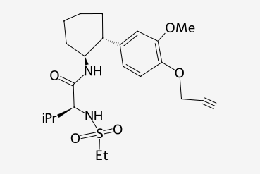 C#CCOc1ccc([C@H]2CCCC[C@@H]2NC(=O)[C@@H](NS(=O)(=O)CC)C(C)C)cc1OC